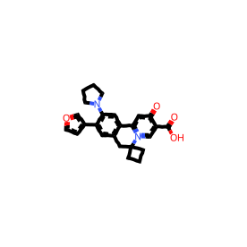 O=C(O)c1cn2c(cc1=O)-c1cc(N3CCCC3)c(-c3ccoc3)cc1CC21CCC1